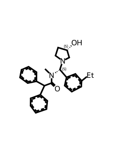 CCc1cccc([C@@H](N2CC[C@H](O)C2)N(C)C(=O)C(c2ccccc2)c2ccccc2)c1